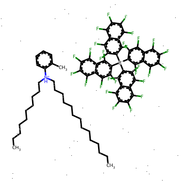 CCCCCCCCCCCCCC[NH+](CCCCCCCCCC)c1ccccc1C.Fc1c(F)c(F)c2c(F)c([B-](c3c(F)c(F)c4c(F)c(F)c(F)c(F)c4c3F)(c3c(F)c(F)c4c(F)c(F)c(F)c(F)c4c3F)c3c(F)c(F)c4c(F)c(F)c(F)c(F)c4c3F)c(F)c(F)c2c1F